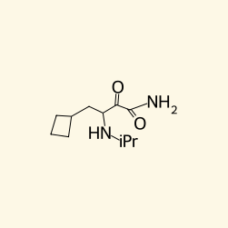 CC(C)NC(CC1CCC1)C(=O)C(N)=O